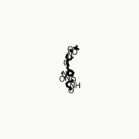 Cn1c(=O)n(C2CCC(=O)NC2=O)c2cccc(CCOC3CCN(C(=O)OC(C)(C)C)CC3)c21